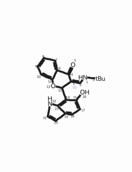 CC(C)(C)N/C=C1\C(=O)c2ccccc2OC1c1c(O)ccc2cc[nH]c12